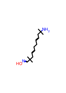 CC(C)(N)C/C=C/CC/C=C/CC(C)(C)/C=N/O